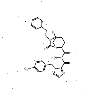 NN(C(=O)c1nnnn1Cc1ccc([N+](=O)[O-])cc1)C(=O)[C@@H]1CC[C@@H]2CN1C(=O)N2OCc1ccccc1